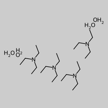 CCN(CC)CC.CCN(CC)CC.CCN(CC)CC.CCN(CC)CC.O.O.O.O